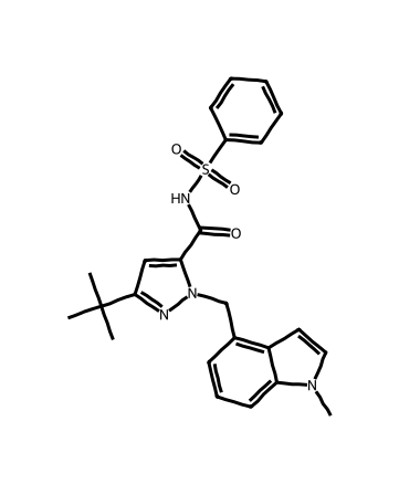 Cn1ccc2c(Cn3nc(C(C)(C)C)cc3C(=O)NS(=O)(=O)c3ccccc3)cccc21